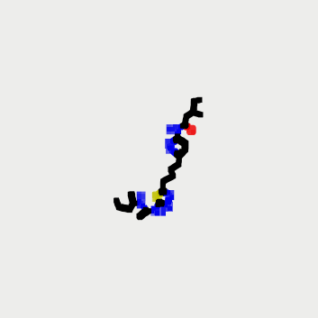 C=C(/C=C\C)NC(=C)Nc1nnc(CCCCc2ccc(NC(=O)C/C(C)=C/C)nn2)s1